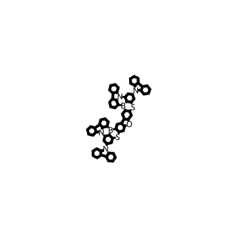 c1ccc2c(c1)c1ccccc1n2-c1cc2c3c(c1)-n1c4ccccc4c4cccc(c41)B3c1cc3c(cc1S2)oc1cc2c(cc13)B1c3c(cc(-n4c5ccccc5c5ccccc54)cc3-n3c4ccccc4c4cccc1c43)S2